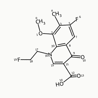 COc1c(C)c(F)cc2c(=O)c(C(=O)O)cn(CCF)c12